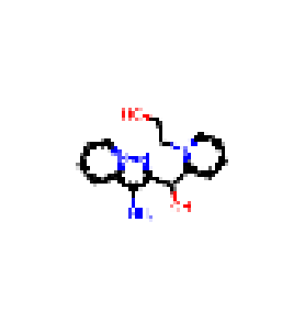 Nc1c(C(O)c2cccc[n+]2CCO)nn2ccccc12